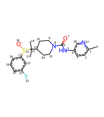 Cc1ccc(NC(=O)N2CCC(C(C)(C)[S+]([O-])c3cccc(F)c3)CC2)cn1